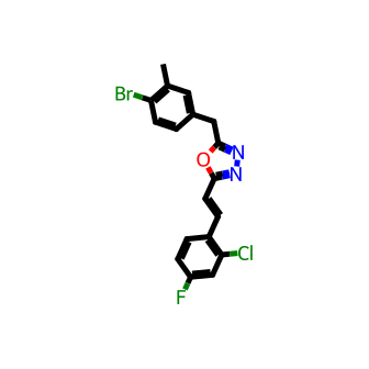 Cc1cc(Cc2nnc(/C=C/c3ccc(F)cc3Cl)o2)ccc1Br